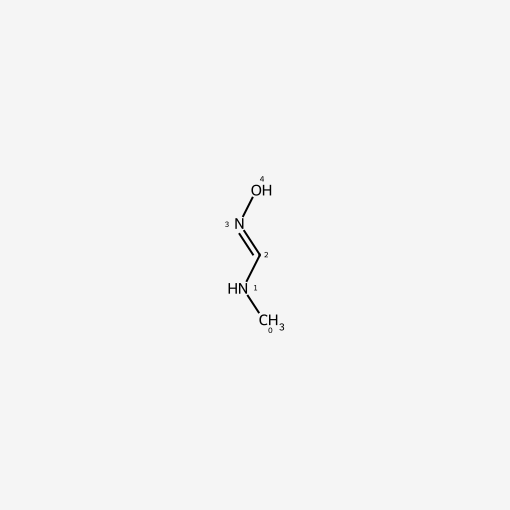 CNC=NO